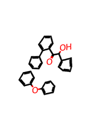 O=C(c1ccccc1-c1ccccc1)C(O)c1ccccc1.c1ccc(Oc2ccccc2)cc1